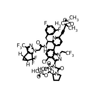 CC(C)(C#Cc1ccc(-c2ccc(Cl)c3c(N(C(=O)N4CCC[C@H]4COP(=O)(O)O)S(C)(=O)=O)nn(CC(F)(F)F)c23)c([C@H](Cc2cc(F)cc(F)c2)NC(=O)Cn2nc(C(F)(F)F)c3c2C(F)(F)[C@@H]2C[C@H]32)n1)S(C)(=O)=O